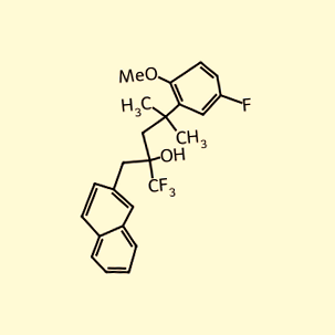 COc1ccc(F)cc1C(C)(C)CC(O)(Cc1ccc2ccccc2c1)C(F)(F)F